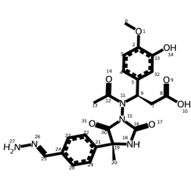 COc1ccc([C@@H](CC(=O)O)N(C(C)=O)N2C(=O)N[C@](C)(c3ccc(C=NN)cc3)C2=O)cc1O